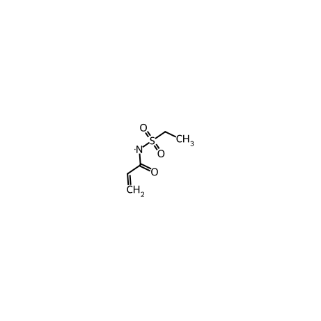 C=CC(=O)[N]S(=O)(=O)CC